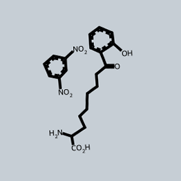 NC(CCCCCCC(=O)c1ccccc1O)C(=O)O.O=[N+]([O-])c1cccc([N+](=O)[O-])c1